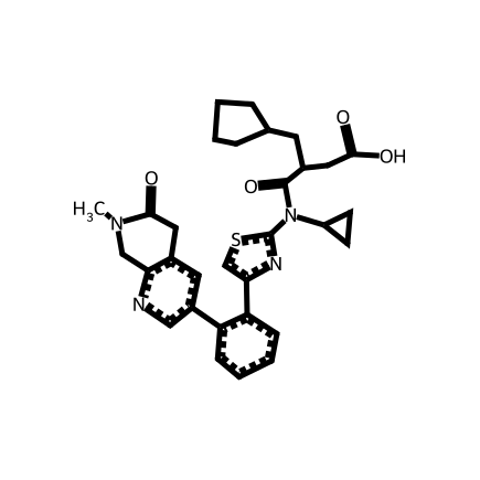 CN1Cc2ncc(-c3ccccc3-c3csc(N(C(=O)C(CC(=O)O)CC4CCCC4)C4CC4)n3)cc2CC1=O